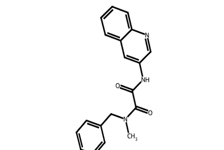 CN(Cc1ccccc1)C(=O)C(=O)Nc1cnc2ccccc2c1